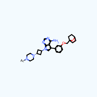 CC(=O)N1CCN([C@H]2C[C@H](n3cc(-c4cccc(OCC56CCC(CC5)O6)c4)c4c(N)ncnc43)C2)CC1